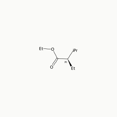 CCOC(=O)[C@H](CC)C(C)C